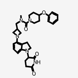 CN(CC1CN(c2cccc3c2CCN3C2CCC(=O)NC2=O)C1)C(=O)N1CCC(Oc2ccccc2)CC1